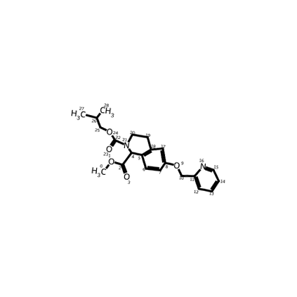 COC(=O)C1c2ccc(OCc3ccccn3)cc2CCN1C(=O)OCC(C)C